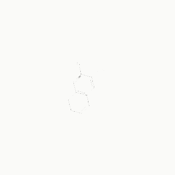 CC(C)(C)c1cc2c(cc1N)CCC=C2